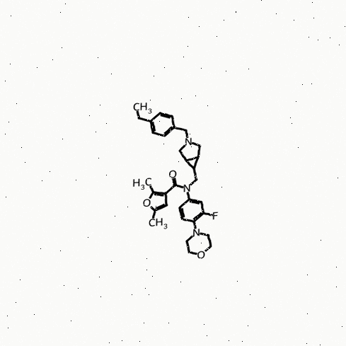 CCc1ccc(CN2CC3C(C2)C3CN(C(=O)c2cc(C)oc2C)c2ccc(N3CCOCC3)c(F)c2)cc1